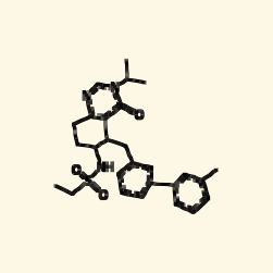 CCS(=O)(=O)NC1CCc2ncn(C(C)C)c(=O)c2C1Cc1cccc(-c2cccc(C)c2)c1